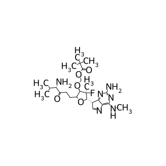 CNc1nc(N)nc2c1N=CC2[C@@H]1OC(CCC(=O)[C@@H](N)C(C)C)[C@@H](OCOC(=O)C(C)(C)C)[C@@]1(C)F